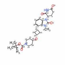 Cn1c(=O)n(C2CCC(=O)NC2=O)c2cccc([C@H]3C[C@@H](OC4CCN(C(=O)OC(C)(C)C)CC4)C3)c21